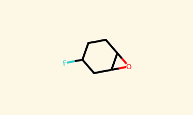 FC1CCC2OC2C1